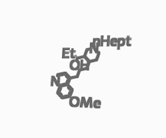 CCCCCCCN1CCC(CCCc2ccnc3ccc(OC)cc23)C([C@H](O)CC)C1